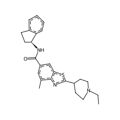 CCN1CCC(c2nc3c(C)cc(C(=O)N[C@H]4CCc5ccccc54)cc3s2)CC1